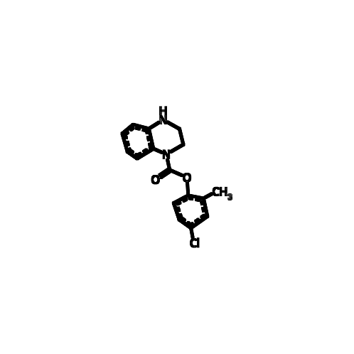 Cc1cc(Cl)ccc1OC(=O)N1CCNc2ccccc21